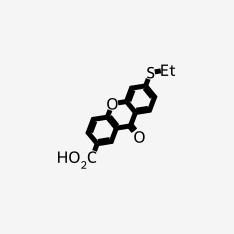 CCSc1ccc2c(=O)c3cc(C(=O)O)ccc3oc2c1